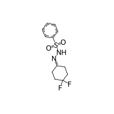 O=S(=O)(NN=C1CCC(F)(F)CC1)c1ccccc1